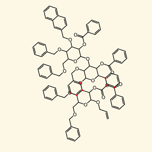 C=CCOC1OC(COCc2ccccc2)C(OCc2ccccc2)C(OC2OC(COC(=O)c3ccccc3)C(OC(=O)c3ccccc3)C(OC3OC(COCc4ccccc4)C(OCc4ccccc4)C(OCc4ccc5ccccc5c4)C3OC(=O)c3ccccc3)C2OCc2ccccc2)C1OC(=O)c1ccccc1